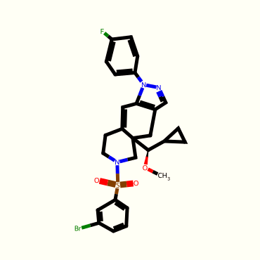 CO[C@H](C1CC1)C12Cc3cnn(-c4ccc(F)cc4)c3C=C1CCN(S(=O)(=O)c1cccc(Br)c1)C2